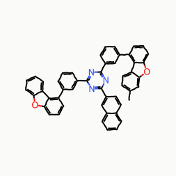 Cc1ccc2c(c1)oc1cccc(-c3cccc(-c4nc(-c5cccc(-c6cccc7oc8ccccc8c67)c5)nc(-c5ccc6ccccc6c5)n4)c3)c12